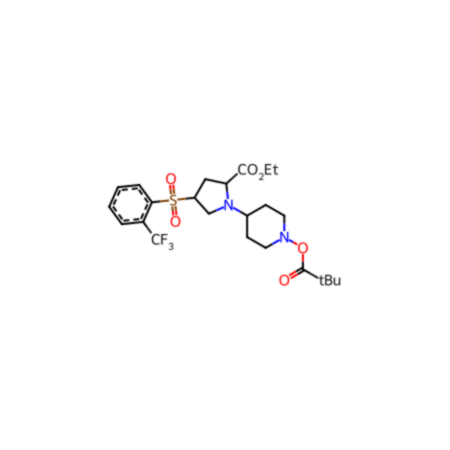 CCOC(=O)C1CC(S(=O)(=O)c2ccccc2C(F)(F)F)CN1C1CCN(OC(=O)C(C)(C)C)CC1